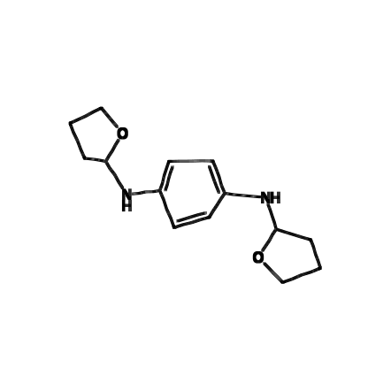 c1cc(NC2CCCO2)ccc1NC1CCCO1